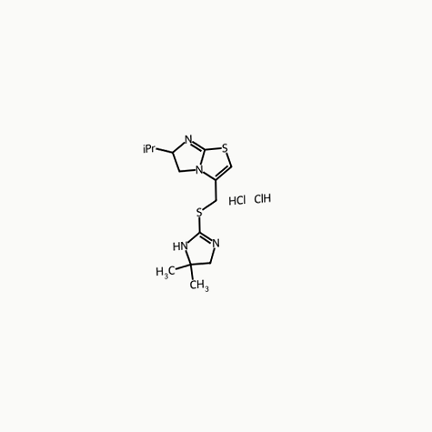 CC(C)C1CN2C(CSC3=NCC(C)(C)N3)=CSC2=N1.Cl.Cl